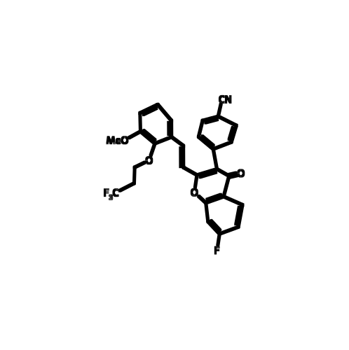 COc1cccc(C=Cc2oc3cc(F)ccc3c(=O)c2-c2ccc(C#N)cc2)c1OCCC(F)(F)F